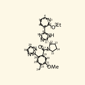 CCOc1ncccc1-c1nnc([C@@H]2CCCN2C(=O)c2cc(OC)c(C)cc2-n2nccn2)[nH]1